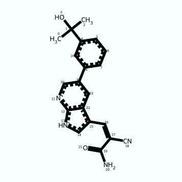 CC(C)(O)c1cccc(-c2cnc3[nH]cc(C=C(C#N)C(N)=O)c3c2)c1